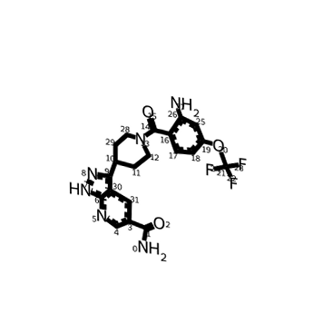 NC(=O)c1cnc2[nH]nc(C3CCN(C(=O)c4ccc(OC(F)(F)F)cc4N)CC3)c2c1